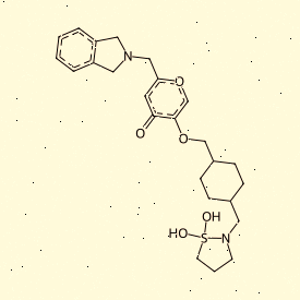 O=c1cc(CN2Cc3ccccc3C2)occ1OCC1CCC(CN2CCCS2(O)O)CC1